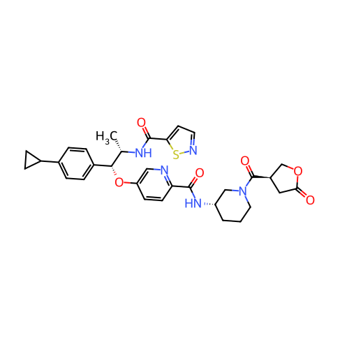 C[C@H](NC(=O)c1ccns1)[C@H](Oc1ccc(C(=O)N[C@H]2CCCN(C(=O)[C@H]3COC(=O)C3)C2)nc1)c1ccc(C2CC2)cc1